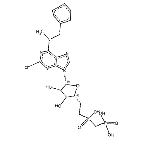 CN(Cc1ccccc1)c1nc(Cl)nc2c1ncn2[C@@H]1O[C@H](CCP(=O)(O)CP(=O)(O)O)C(O)C1O